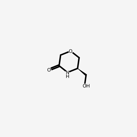 O=C1COC[C@@H](CO)N1